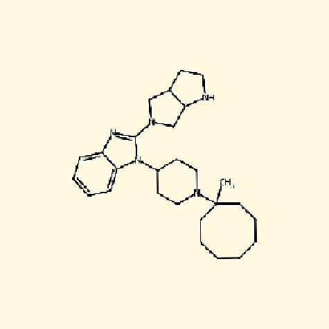 CC1(N2CCC(n3c(N4CC5CCNC5C4)nc4ccccc43)CC2)CCCCCCC1